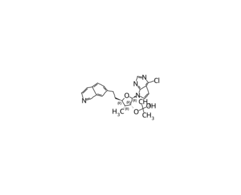 C[C@H]1[C@@H](OC(C)(C)O)[C@H](n2ccc3c(Cl)ncnc32)O[C@@H]1CCc1ccc2ccncc2c1